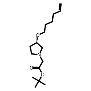 C=CCCCCO[C@@H]1CCN(CC(=O)OC(C)(C)C)C1